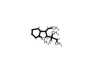 CCC1C2CCCCC2OC1C(C)(C)CC